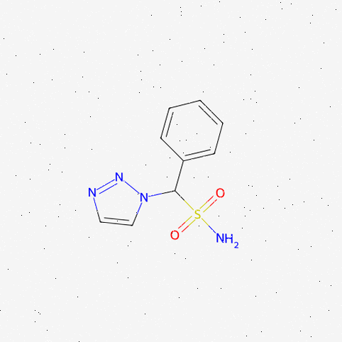 NS(=O)(=O)C(c1ccccc1)n1ccnn1